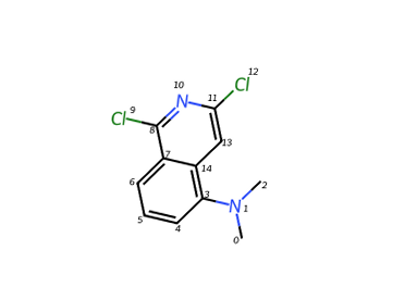 CN(C)c1cccc2c(Cl)nc(Cl)cc12